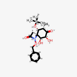 C[C@@H]1C(=O)[C@@H](O)[C@@H](O)[C@]2(CC(=O)N2OCc2ccccc2)[C@@H]1O[Si](C)(C)C